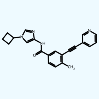 Cc1ccc(C(=O)Nc2cn(C3CCC3)cn2)cc1C#Cc1cccnc1